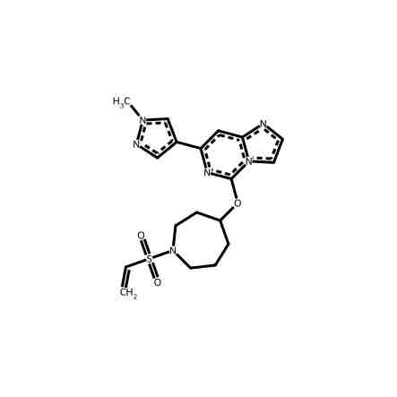 C=CS(=O)(=O)N1CCCC(Oc2nc(-c3cnn(C)c3)cc3nccn23)CC1